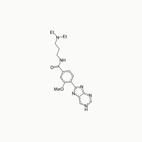 CCN(CC)CCCNC(=O)c1ccc(-c2nc3c[nH]cnc-3n2)c(OC)c1